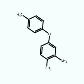 Cc1ccc(Oc2ccc(C)c(N)c2)cc1